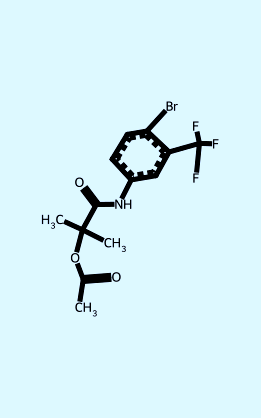 CC(=O)OC(C)(C)C(=O)Nc1ccc(Br)c(C(F)(F)F)c1